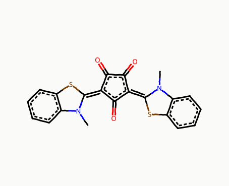 CN1C(=c2c(=O)c(=O)c(=C3Sc4ccccc4N3C)c2=O)Sc2ccccc21